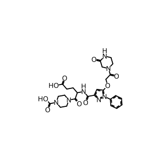 O=C(O)CCC(NC(=O)c1cc(OCC(=O)N2CCNC(=O)C2)n(-c2ccccc2)n1)C(=O)N1CCN(C(=O)O)CC1